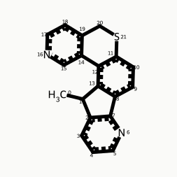 CC1c2cccnc2-c2ccc3c(c21)-c1cnccc1CS3